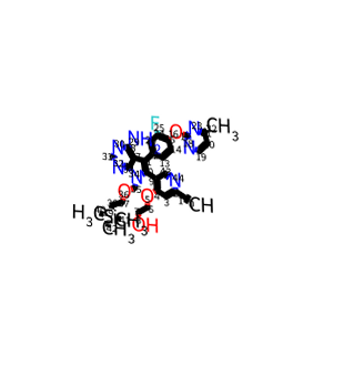 C#Cc1cc(OCCO)c(-c2c(-c3ccc(Oc4nccc(C)n4)c(F)c3)c3c(N)ncnc3n2COCC[Si](C)(C)C)cn1